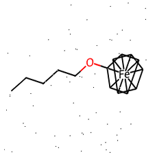 CCCCCO[C]12[CH]3[CH]4[CH]5[CH]1[Fe]45321678[CH]2[CH]1[CH]6[CH]7[CH]28